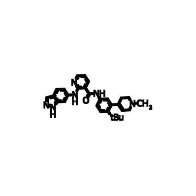 CN1CC=C(c2cc(NC(=O)c3cccnc3Nc3ccc4cn[nH]c4c3)ccc2C(C)(C)C)CC1